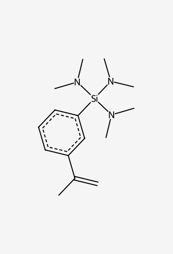 C=C(C)c1cccc([Si](N(C)C)(N(C)C)N(C)C)c1